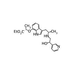 CCOC(=O)[C@H](C)Oc1cccc2c(C[C@@H](C)NC[C@H](O)c3cccnc3)c[nH]c12